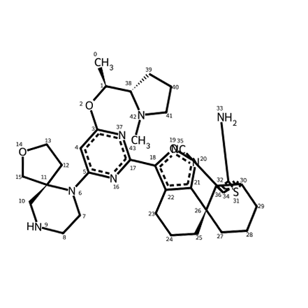 C[C@H](Oc1cc(N2CCNC[C@@]23CCOC3)nc(-c2onc3c2CCC[C@@]32CCCc3sc(N)c(C#N)c32)n1)[C@@H]1CCCN1C